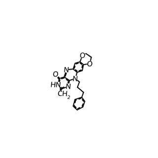 C=c1nc2c(c(=O)[nH]1)=Nc1cc3c(cc1N2CCCc1ccccc1)OCCO3